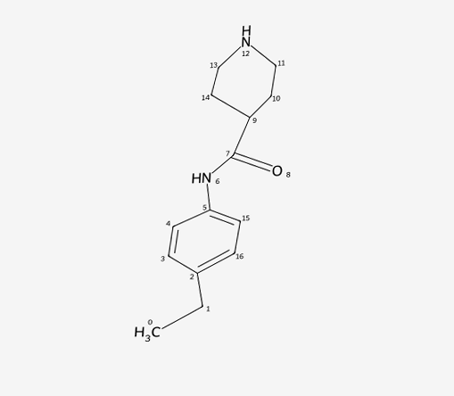 CCc1ccc(NC(=O)C2CCNCC2)cc1